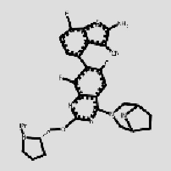 CC(C)N1CCC[C@H]1COc1nc(N2CC3CCC(C2)N3)c2cc(Cl)c(-c3ccc(F)c4sc(N)c(C#N)c34)c(F)c2n1